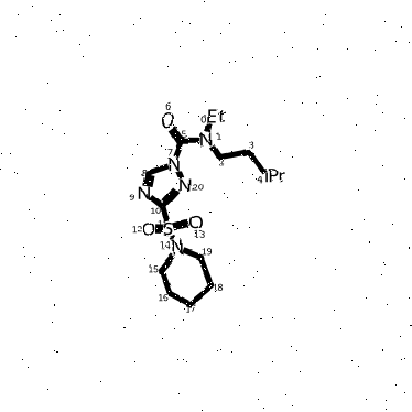 CCN(CCC(C)C)C(=O)n1cnc(S(=O)(=O)N2CCCCC2)n1